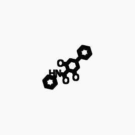 O=C1CC(c2ccccc2)CC(=O)C1C(=O)Nc1ccccc1